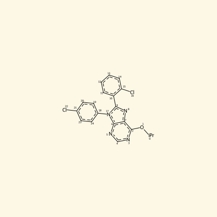 CC(C)Oc1ncnc2c1nc(-c1ccccc1Cl)n2-c1ccc(Cl)cc1